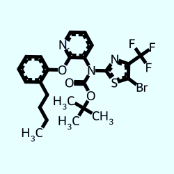 CCCCc1ccccc1Oc1ncccc1N(C(=O)OC(C)(C)C)c1nc(C(F)(F)F)c(Br)s1